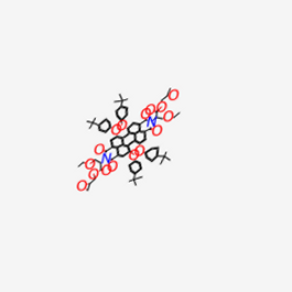 CCOCC(C(=O)OCC1CO1)N1C(=O)c2cc(Oc3ccc(C(C)(C)C)cc3)c3c4c(Oc5ccc(C(C)(C)C)cc5)cc5c6c(cc(Oc7ccc(C(C)(C)C)cc7)c(c7c(Oc8ccc(C(C)(C)C)cc8)cc(c2c37)C1=O)c64)C(=O)N(C(COCC)C(=O)OCC1CO1)C5=O